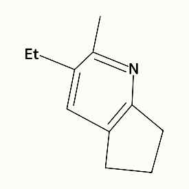 CCc1cc2c(nc1C)CCC2